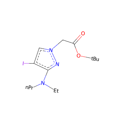 CCCN(CC)c1nn(CC(=O)OC(C)(C)C)cc1I